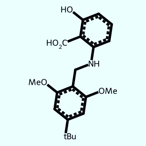 COc1cc(C(C)(C)C)cc(OC)c1CNc1cccc(O)c1C(=O)O